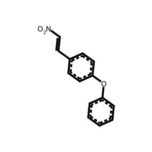 O=[N+]([O-])/C=C/c1ccc(Oc2ccccc2)cc1